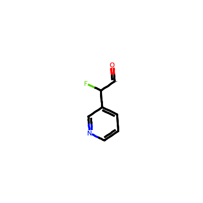 O=[C]C(F)c1cccnc1